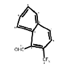 O=[C]c1c(C(F)(F)F)ccc2ccccc12